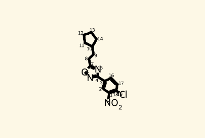 O=[N+]([O-])c1cc(-c2noc(CCC3CCCC3)n2)ccc1Cl